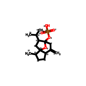 C=C1CC2(OS(=O)(=O)O)OC3(CC2C(C)C)C(C)CCC13